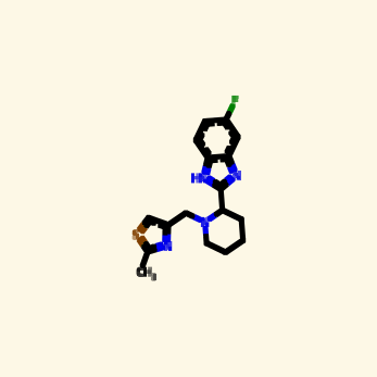 Cc1nc(CN2CCCCC2c2nc3cc(F)ccc3[nH]2)cs1